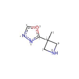 CC1(c2nnco2)CNC1